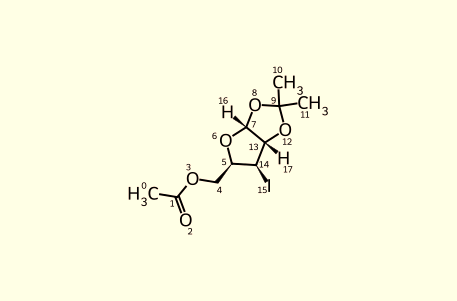 CC(=O)OC[C@H]1O[C@@H]2OC(C)(C)O[C@@H]2[C@H]1I